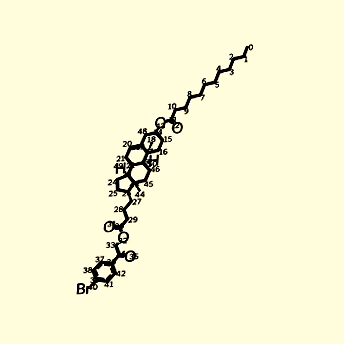 CCCCCCCCCCCC(=O)O[C@H]1CC[C@@]2(C)C(=CCC3[C@@H]4CC[C@H](CCCC(=O)OCC(=O)c5ccc(Br)cc5)[C@@]4(C)CC[C@@H]32)C1